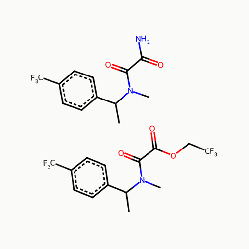 CC(c1ccc(C(F)(F)F)cc1)N(C)C(=O)C(=O)OCC(F)(F)F.CC(c1ccc(C(F)(F)F)cc1)N(C)C(=O)C(N)=O